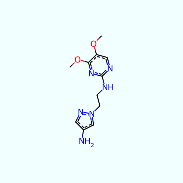 COc1cnc(NCCn2cc(N)cn2)nc1OC